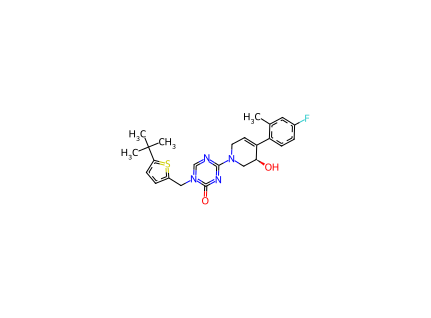 Cc1cc(F)ccc1C1=CCN(c2ncn(Cc3ccc(C(C)(C)C)s3)c(=O)n2)C[C@@H]1O